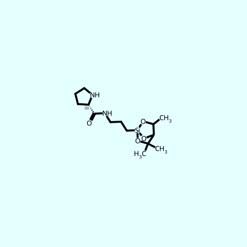 CC1O[Si]2(CCCNC(=O)[C@@H]3CCCN3)OC1C(C)(C)O2